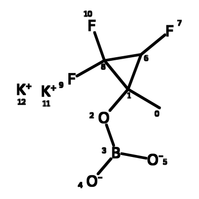 CC1(OB([O-])[O-])C(F)C1(F)F.[K+].[K+]